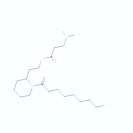 CCCCCCCCCCCCCCCCCC(=O)N1CCCCC1CCOC(=O)CCN(C)C